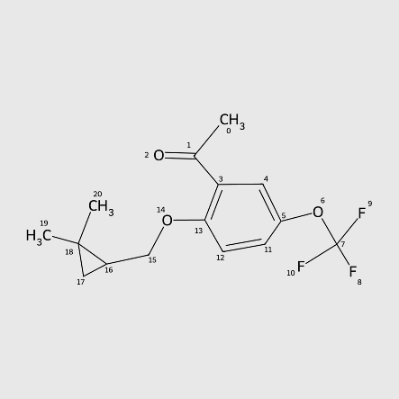 CC(=O)c1cc(OC(F)(F)F)ccc1OCC1CC1(C)C